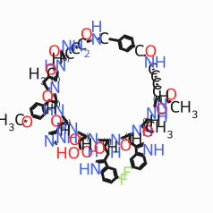 COc1ccc(C[C@@H]2NC(=O)[C@H](Cc3cnc[nH]3)NC(=O)[C@H](CC(=O)O)NC(=O)[C@H](CCc3c[nH]c4ccc(F)cc34)NC(=O)[C@H](Cc3c[nH]c4ccc(F)cc34)NC(=O)[C@@H](C)NC(=O)[C@H](NC(C)=O)CCCCNC(=O)Cc3ccc(cc3)CNC(=O)CCC[C@@H](C(N)=O)NC(=O)[C@]3(C)CCCN3C2=O)cc1